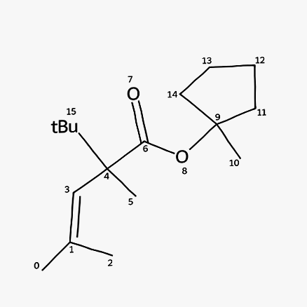 CC(C)=CC(C)(C(=O)OC1(C)CCCC1)C(C)(C)C